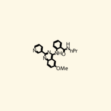 CCCNC(=O)c1ccccc1Nc1nc(-c2cccnc2)nc2ccc(OC)cc12